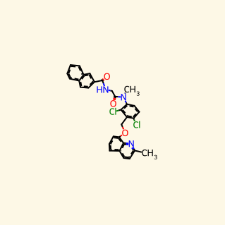 Cc1ccc2cccc(OCc3c(Cl)ccc(N(C)C(=O)CNC(=O)c4ccc5ccccc5c4)c3Cl)c2n1